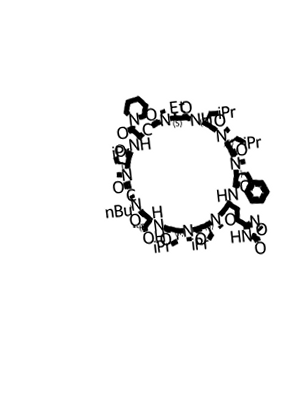 CCCCN1CC(=O)N(C)[C@@H](CC(C)C)C(=O)NC(C(=O)N2CCCCC2)CC(=O)N(C)[C@@H](CC)C(=O)N[C@@H](CC(C)C)C(=O)N(C)[C@@H](CC(C)C)C(=O)N(C)[C@@H](Cc2ccccc2)C(=O)NC(CCc2noc(=O)[nH]2)C(=O)N(C)[C@@H](CC(C)C)C(=O)N(C)[C@H](CC(C)C)C(=O)NC([C@@H](C)O)C1=O